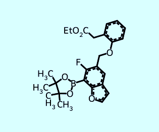 CCOC(=O)Cc1ccccc1OCc1cc2ccoc2c(B2OC(C)(C)C(C)(C)O2)c1F